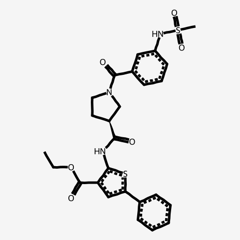 CCOC(=O)c1cc(-c2ccccc2)sc1NC(=O)[C@H]1CCN(C(=O)c2cccc(NS(C)(=O)=O)c2)C1